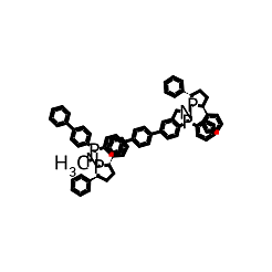 CN(P(c1ccc(-c2ccccc2)cc1)c1ccc(-c2ccc(-c3ccc4c(c3)CN(P3[C@H](c5ccccc5)CC[C@H]3c3ccccc3)P4c3ccccc3)cc2)cc1)P1[C@H](c2ccccc2)CC[C@H]1c1ccccc1